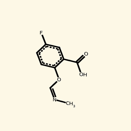 C/N=C\Oc1ccc(F)cc1C(=O)O